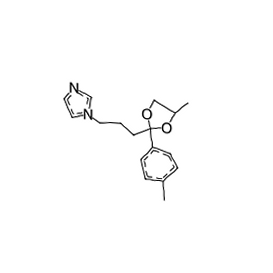 Cc1ccc(C2(CCCn3ccnc3)OCC(C)O2)cc1